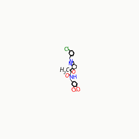 Cc1c(C(=O)NCc2ccc3c(c2)OCO3)oc2c1-c1nn(Cc3cccc(Cl)c3)cc1CC2